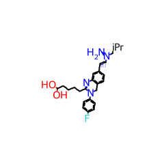 CC(C)CN(N)/C=C/c1ccc2c(c1)N=C(CCCCC(O)O)N(c1ccc(F)cc1)C2